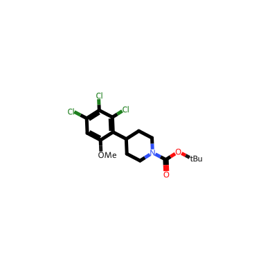 COc1cc(Cl)c(Cl)c(Cl)c1C1CCN(C(=O)OC(C)(C)C)CC1